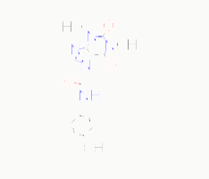 Cc1ccc(CNC(=O)Cn2cnc3c2c(=O)n(C)c(=O)n3C)cc1